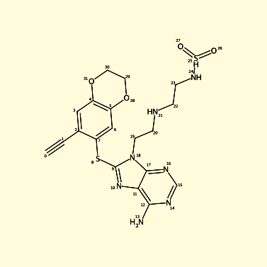 C#Cc1cc2c(cc1Sc1nc3c(N)ncnc3n1CCNCCN[SH](=O)=O)OCCO2